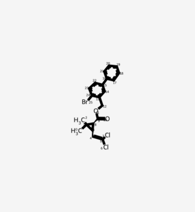 CC1(C)[C@H](C=C(Cl)Cl)[C@@H]1C(=O)OCc1cc(-c2ccccc2)ccc1Br